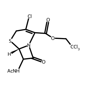 CC(=O)NC1C(=O)N2C(C(=O)OCC(Cl)(Cl)Cl)=C(Cl)CS[C@@H]12